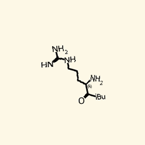 CCC(C)C(=O)[C@H](N)CCCNC(=N)N